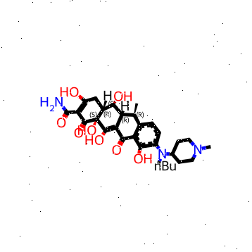 CCCCN(c1ccc2c(c1O)C(=O)C1=C(O)[C@]3(O)C(=O)C(C(N)=O)=C(O)C[C@@H]3[C@@H](O)[C@@H]1[C@H]2C)C1CCN(C)CC1